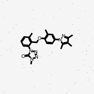 Cc1cc(-n2nc(C)c(C)c2C)ccc1OCc1c(C)cccc1-n1nnn(C)c1=O